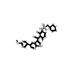 COc1ncc(-c2cnc3[nH]cc(C(=O)c4c(F)ccc(NS(=O)(=O)Cc5ccccc5)c4F)c3c2)cn1